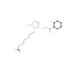 CC(=O)CCCCCC[C@@H]1[C@@H](CCC(O)c2ccccc2Cl)[C@H](O)C[C@@H]1O